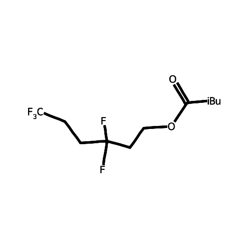 CCC(C)C(=O)OCCC(F)(F)CCC(F)(F)F